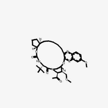 COC[C@@H]1[C@@H]2CN(C(=O)[C@H](C(C)(C)C)NC(=O)O[C@@H]3CCC[C@H]3CCCCCc3nc4ccc(OC)cc4nc3O2)[C@@H]1C(C)=O